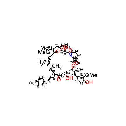 CO[C@H]1C[C@@H](C)C/C(C)=C/C(C/C=C/c2ccc(C(C)=O)cc2)C(=O)C[C@H](O)C[C@@H](/C(C)=C/[C@@H]2CC[C@@H](O)[C@H](OC)C2)OC(=O)[C@@H]2CCCCN2C(=O)C(=O)[C@]2(O)OC1[C@@H](OC)C[C@H]2C